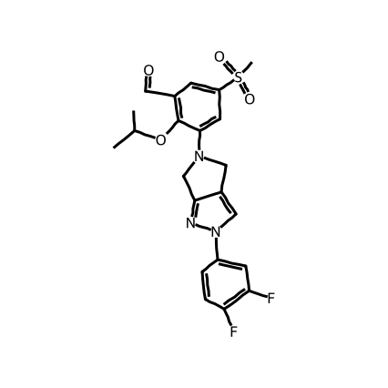 CC(C)Oc1c(C=O)cc(S(C)(=O)=O)cc1N1Cc2cn(-c3ccc(F)c(F)c3)nc2C1